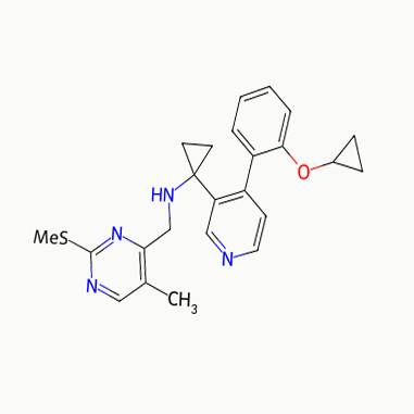 CSc1ncc(C)c(CNC2(c3cnccc3-c3ccccc3OC3CC3)CC2)n1